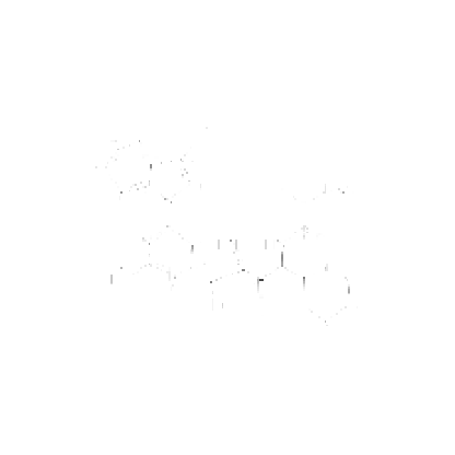 CCC(C(=N)C(=O)C(NC(=O)C(C)NC)C1CCCCC1)c1cc(-n2cc(C)c3ccccc32)nc(C)n1